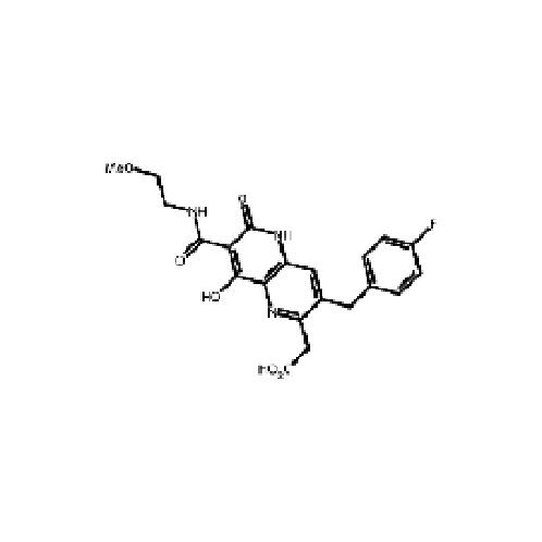 COCCNC(=O)c1c(O)c2nc(CC(=O)O)c(Cc3ccc(F)cc3)cc2[nH]c1=O